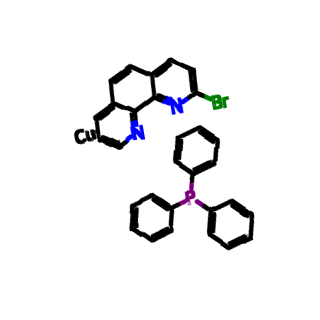 Brc1ccc2ccc3cccnc3c2n1.[Cu].c1ccc(P(c2ccccc2)c2ccccc2)cc1